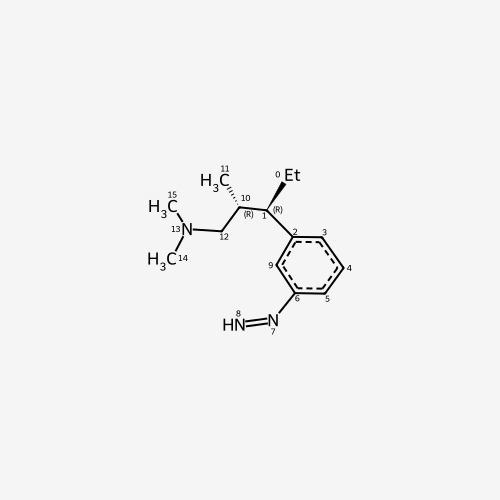 CC[C@@H](c1cccc(N=N)c1)[C@@H](C)CN(C)C